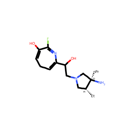 CCC[C@@]1(N)CN(CC(O)C2=CCC=C(O)C(F)=N2)C[C@H]1CC